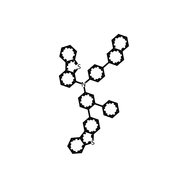 c1ccc(-c2cc(N(c3ccc(-c4ccc5ccccc5c4)cc3)c3cccc4c3sc3ccccc34)ccc2-c2ccc3sc4ccccc4c3c2)cc1